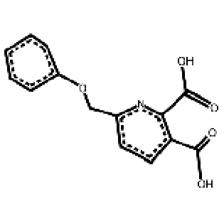 O=C(O)c1ccc(COc2ccccc2)nc1C(=O)O